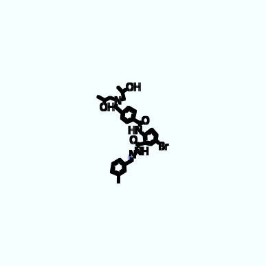 Cc1cccc(/C=N/NC(=O)c2cc(Br)ccc2NC(=O)c2ccc(CN(CC(C)O)CC(C)O)cc2)c1